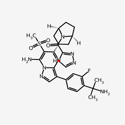 CC(C)(N)c1ccc(-c2cnn3c(N)c(S(C)(=O)=O)c([C@@H]4C[C@H]5CC[C@@H](C4)N5C(=O)c4nnc[nH]4)nc23)cc1F